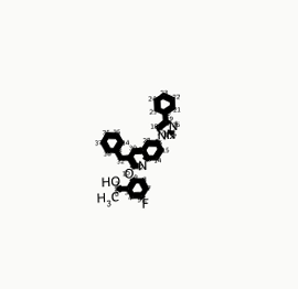 CC(O)c1cc(F)ccc1Oc1nc2ccc(-n3cc(-c4ccccc4)nn3)cc2cc1Cc1ccccc1